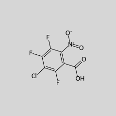 O=C(O)c1c(F)c(Cl)c(F)c(F)c1[N+](=O)[O-]